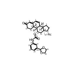 CC(=O)[C@H]1CC[C@H]2[C@@H]3C=CC4=CC(=O)CC[C@@]4(C)[C@@H]3[C@@H](OC(=O)Nc3cccc(C4OCCO4)c3)C[C@]12C